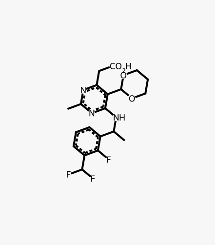 Cc1nc(CC(=O)O)c(C2OCCCO2)c(NC(C)c2cccc(C(F)F)c2F)n1